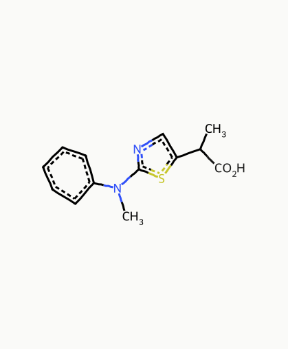 CC(C(=O)O)c1cnc(N(C)c2ccccc2)s1